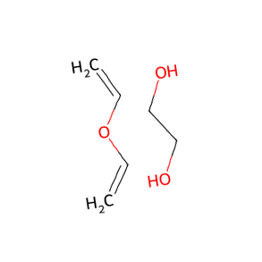 C=COC=C.OCCO